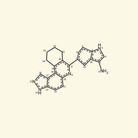 Nc1c[nH]c2ccc(-c3nc4ccc5[nH]ncc5c4c4c3CCCC4)cc12